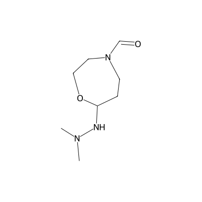 CN(C)NC1CCN(C=O)CCO1